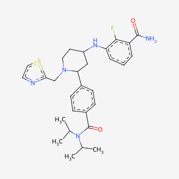 CC(C)N(C(=O)c1ccc(C2CC(Nc3cccc(C(N)=O)c3F)CCN2Cc2nccs2)cc1)C(C)C